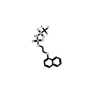 O=S(=O)(NS(=O)(=O)C(F)(F)F)OCCOc1cccc2ccccc12